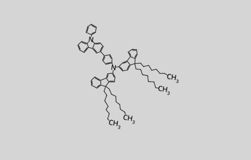 CCCCCCCCC1(CCCCCCCC)c2ccccc2-c2cc(N(c3ccc(-c4ccc5c(c4)c4ccccc4n5-c4ccccc4)cc3)c3ccc4c(c3)-c3ccccc3C4(CCCCCCCC)CCCCCCCC)ccc21